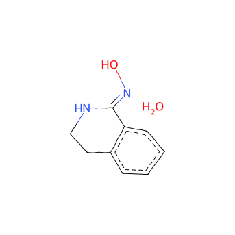 O.ON=C1NCCc2ccccc21